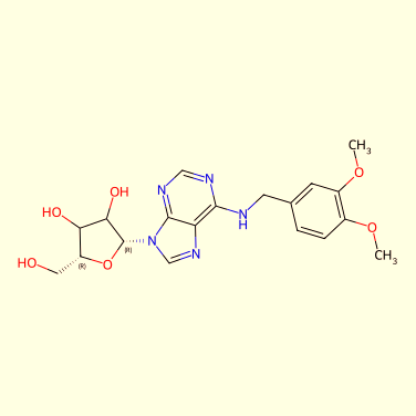 COc1ccc(CNc2ncnc3c2ncn3[C@@H]2O[C@H](CO)C(O)C2O)cc1OC